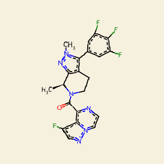 C[C@H]1c2nn(C)c(-c3cc(F)c(F)c(F)c3)c2CCN1C(=O)c1nccn2ncc(F)c12